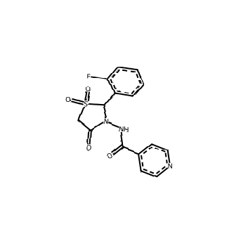 O=C(NN1C(=O)CS(=O)(=O)C1c1ccccc1F)c1ccncc1